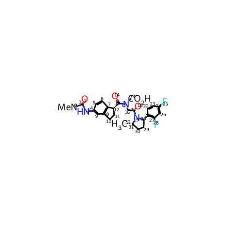 CNC(=O)Nc1ccc2c(c1)CC[C@@H]2C(=O)N(CC(=O)N1[C@@H](c2ccc(F)cc2F)CC[C@@H]1C)C(=O)O